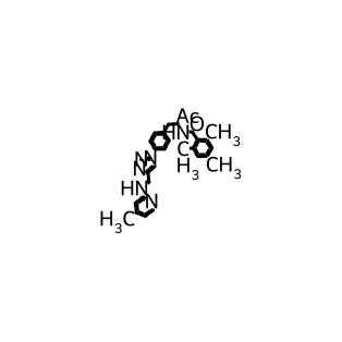 CC(=O)[C@H](Cc1ccc(-n2cc(CNc3cc(C)ccn3)nn2)cc1)NC(=O)c1c(C)cc(C)cc1C